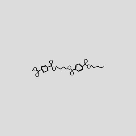 CCCCCOC(=O)c1ccc(C(=O)OCCCCOC(=O)c2ccc(C(=O)OC)cc2)cc1